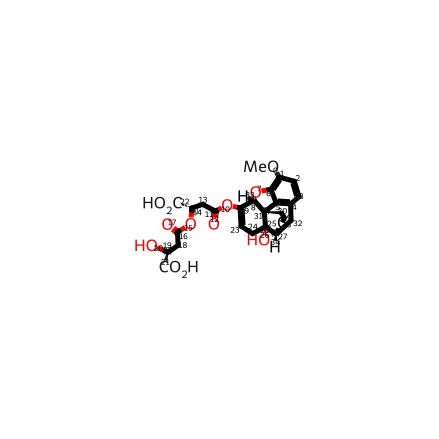 COc1ccc2c3c1O[C@H]1C(OC(=O)C[C@H](OC(=O)C[C@H](O)C(=O)O)C(=O)O)=CC[C@@]4(O)[C@H](CCC[C@]314)C2